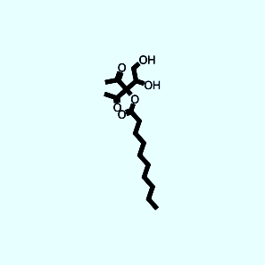 CCCCCCCCCC(=O)OC(C(C)=O)(C(C)=O)C(O)CO